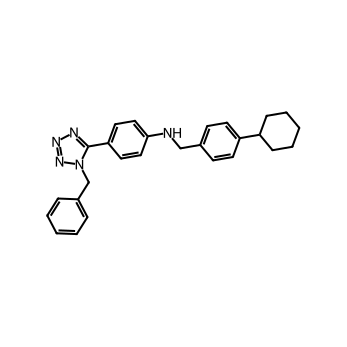 c1ccc(Cn2nnnc2-c2ccc(NCc3ccc(C4CCCCC4)cc3)cc2)cc1